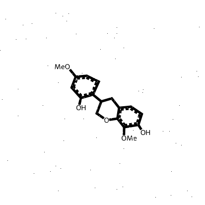 COc1ccc(C2COc3c(ccc(O)c3OC)C2)c(O)c1